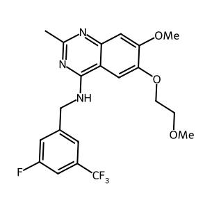 COCCOc1cc2c(NCc3cc(F)cc(C(F)(F)F)c3)nc(C)nc2cc1OC